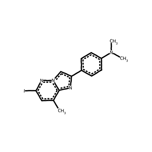 Cc1cc(I)nn2cc(-c3ccc(N(C)C)cc3)nc12